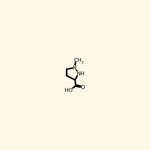 CN1CCC(C(=O)O)N1